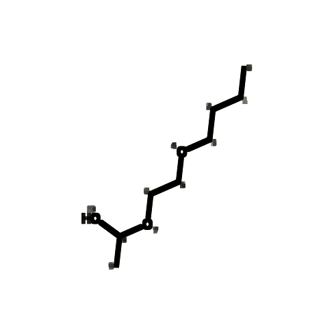 CCCCOCCOC(C)O